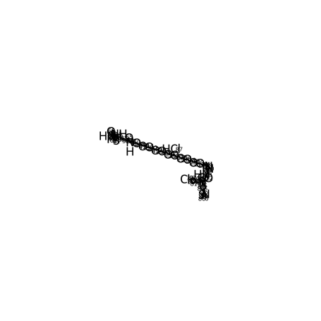 Cc1nc(C2CCC(N3C[C@H](C(=O)NCc4cn(CCOCCOCCOCCOCCOCCOCCOCCOCCOCCOCCOCCNC(=O)CCCC[C@@H]5SC[C@@H]6NC(=O)N[C@@H]65)nn4)OC[C@@H]3Cc3ccc(Cl)cc3)CC2)sc1C.Cl